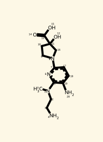 CN(CCN)c1nc(N2CCC(O)(C(=O)O)C2)ccc1N